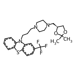 CC1(C)OC[C@H](CN2CCN(CCCN3c4ccccc4Sc4ccc(C(F)(F)F)cc43)CC2)O1